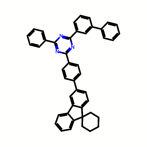 c1ccc(-c2cccc(-c3nc(-c4ccccc4)nc(-c4ccc(-c5ccc6c(c5)-c5ccccc5C65CCCCC5)cc4)n3)c2)cc1